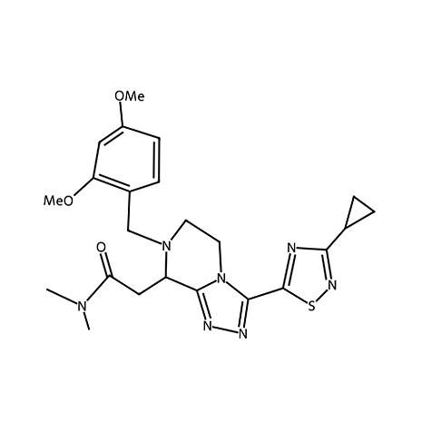 COc1ccc(CN2CCn3c(-c4nc(C5CC5)ns4)nnc3C2CC(=O)N(C)C)c(OC)c1